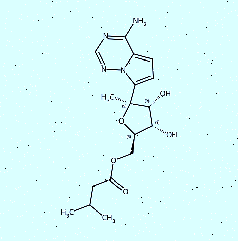 CC(C)CC(=O)OC[C@H]1O[C@@](C)(c2ccc3c(N)ncnn23)[C@H](O)[C@@H]1O